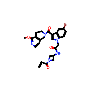 C=CC(=O)N1CC(NC(=O)Cn2cc(C(=O)N3CCc4c(ccnc4OC)C3)c3cc(Br)ccc32)C1